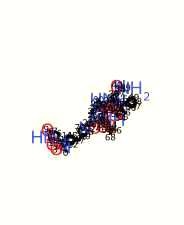 Cn1c(=O)n(C2CCC(=O)NC2=O)c2ccc(CC3CCN(CC(=O)N4CCC5=CC[C@@H](C(=O)N[C@@H](CCC(N)=O)C(=O)NC(c6ccccc6)c6ccccc6)N5C(=O)[C@@H](NC(=O)OC(C)(C)C)C4)CC3)cc21